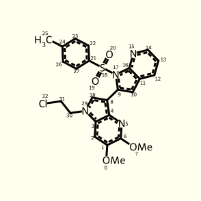 COc1cc2c(nc1OC)c(-c1cc3cccnc3n1S(=O)(=O)c1ccc(C)cc1)cn2CCCl